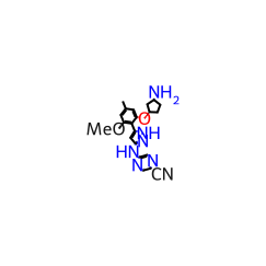 COc1cc(C)cc(O[C@@H]2CC[C@H](N)C2)c1-c1cc(Nc2cnc(C#N)cn2)n[nH]1